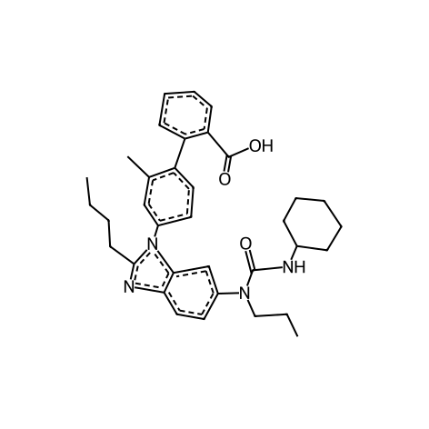 CCCCc1nc2ccc(N(CCC)C(=O)NC3CCCCC3)cc2n1-c1ccc(-c2ccccc2C(=O)O)c(C)c1